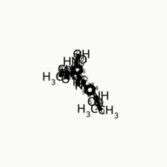 CC(C)OC(=O)NC1CCC(c2nnc(C3=CC=C(NC(=O)O)CC3=NS(=O)(=O)C(C)C)s2)CC1